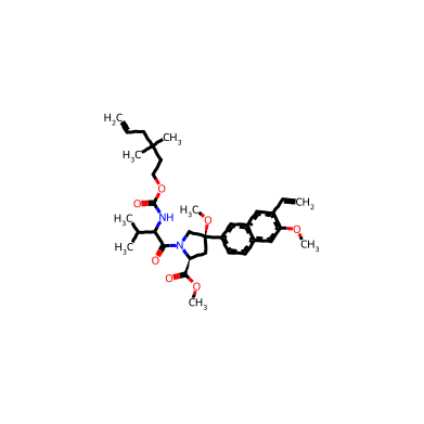 C=CCC(C)(C)CCOC(=O)NC(C(=O)N1C[C@](OC)(c2ccc3cc(OC)c(C=C)cc3c2)C[C@H]1C(=O)OC)C(C)C